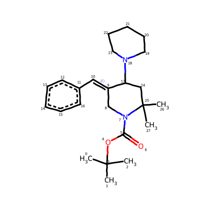 CC(C)(C)OC(=O)N1C/C(=C\c2ccccc2)C(N2CCCCC2)CC1(C)C